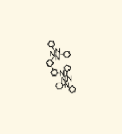 c1ccc(-c2nc(-c3ccccc3)nc(-c3cccc(-c4cccc(-n5c6ccccc6c6nc7n(-c8ccccc8)c8ccccc8n7c65)c4)c3)n2)cc1